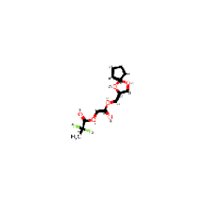 CC(F)(F)C(=O)OCC(=O)OCC1COC2(CCCC2)O1